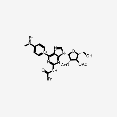 CCN(C)c1cc[n+](-c2nc(NC(=O)C(C)C)nc3c2ncn3[C@@H]2O[C@H](CO)C(OC(C)=O)[C@@H]2OC(C)=O)cc1